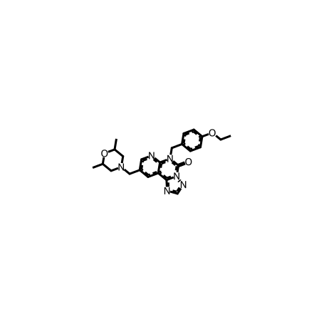 CCOc1ccc(Cn2c(=O)n3ncnc3c3cc(CN4CC(C)OC(C)C4)cnc32)cc1